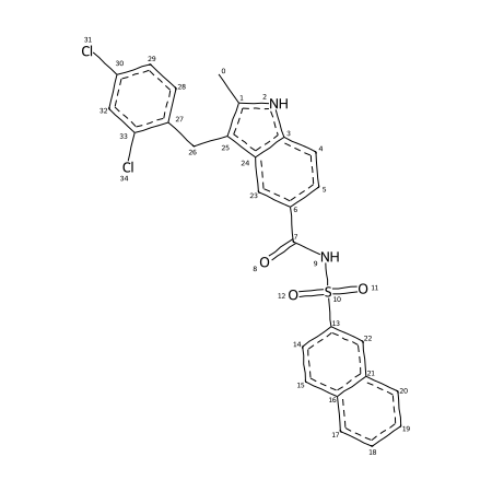 Cc1[nH]c2ccc(C(=O)NS(=O)(=O)c3ccc4ccccc4c3)cc2c1Cc1ccc(Cl)cc1Cl